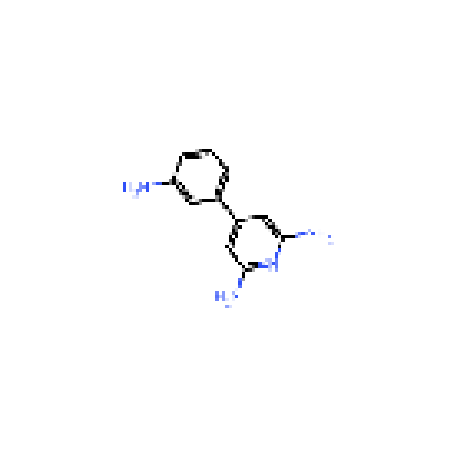 Nc1cccc(-c2cc(N)nc(N)c2)c1